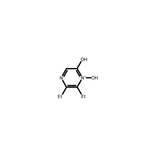 CCc1ncc(O)[n+](O)c1CC